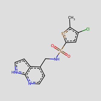 Cc1sc(S(=O)(=O)NCc2ccnc3[nH]ccc23)cc1Cl